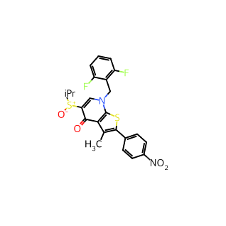 Cc1c(-c2ccc([N+](=O)[O-])cc2)sc2c1c(=O)c([S+]([O-])C(C)C)cn2Cc1c(F)cccc1F